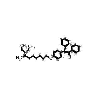 CCN(CC)C(C)CCCCCCOc1ccc(/C(=C(\Cl)c2ccccc2)c2ccccc2)cc1